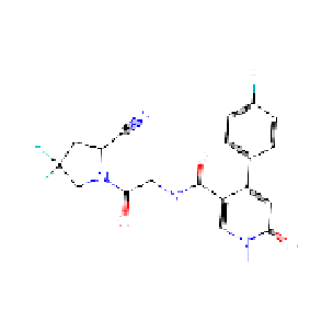 N#CC1CC(F)(F)CN1C(=O)CNC(=O)c1c[nH]c(=O)cc1-c1ccc(F)cc1